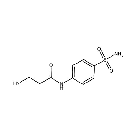 NS(=O)(=O)c1ccc(NC(=O)CCS)cc1